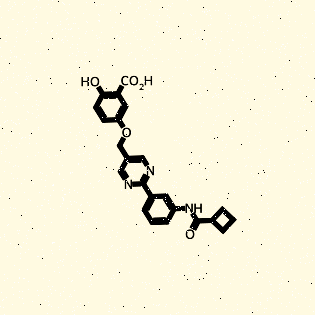 O=C(O)c1cc(OCc2cnc(-c3cccc(NC(=O)C4CCC4)c3)nc2)ccc1O